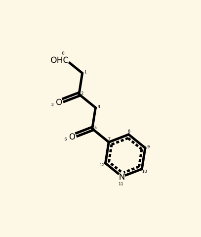 O=CCC(=O)CC(=O)c1cccnc1